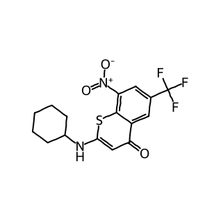 O=c1cc(NC2CCCCC2)sc2c([N+](=O)[O-])cc(C(F)(F)F)cc12